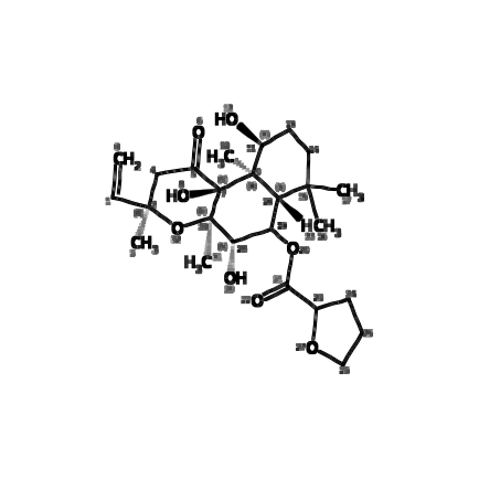 C=C[C@@]1(C)CC(=O)[C@]2(O)[C@@]3(C)[C@@H](O)CCC(C)(C)[C@@H]3C(OC(=O)C3CCCO3)[C@H](O)[C@@]2(C)O1